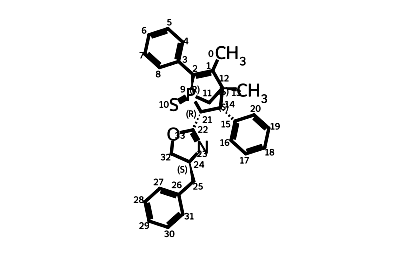 CC1=C(c2ccccc2)[P@@]2(=S)C[C@@]1(C)[C@H](c1ccccc1)[C@@H]2C1=N[C@@H](Cc2ccccc2)CO1